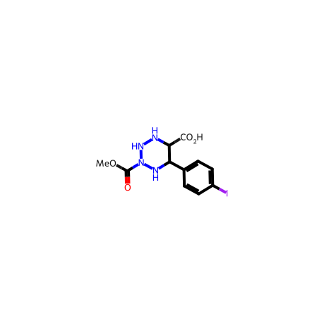 COC(=O)N1NNC(C(=O)O)C(c2ccc(I)cc2)N1